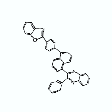 c1ccc(-c2nc3ccccc3nc2-c2cccc3c(-c4ccc(-c5nc6ccccc6o5)cc4)cccc23)cc1